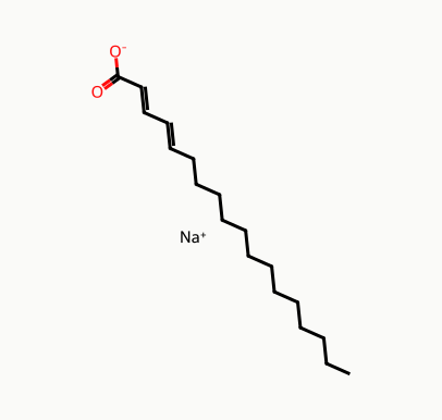 CCCCCCCCCCCCCC=CC=CC(=O)[O-].[Na+]